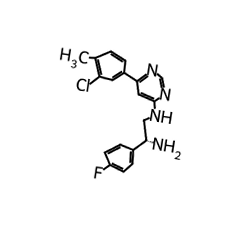 Cc1ccc(-c2cc(NC[C@H](N)c3ccc(F)cc3)ncn2)cc1Cl